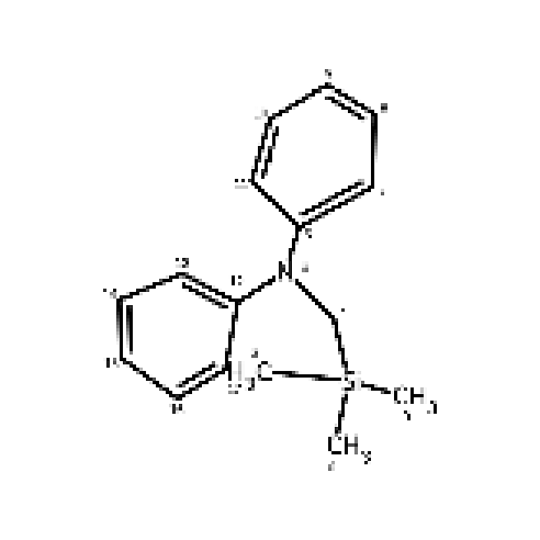 C[Si](C)(C)CN(c1ccccc1)c1ccccc1